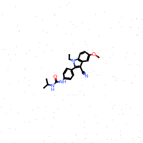 CCn1c(-c2ccc(NC(=O)NC(C)C)cc2)c(C#N)c2cc(OC)ccc21